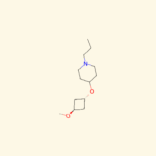 CCCN1CCC(O[C@H]2C[C@H](OC)C2)CC1